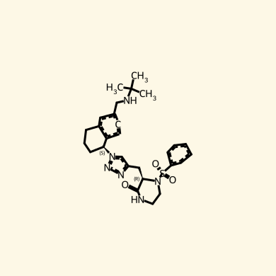 CC(C)(C)NCc1ccc2c(c1)CCC[C@@H]2n1cc(C[C@@H]2C(=O)NCCN2S(=O)(=O)c2ccccc2)nn1